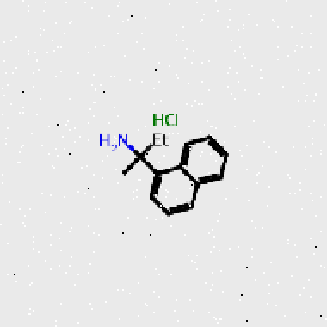 CCC(C)(N)c1cccc2ccccc12.Cl